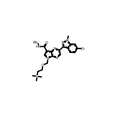 CCc1ccc2c(-c3cnc4c(n3)c(C(=O)NC(C)(C)C)cn4COCC[Si](C)(C)C)nn(C)c2c1